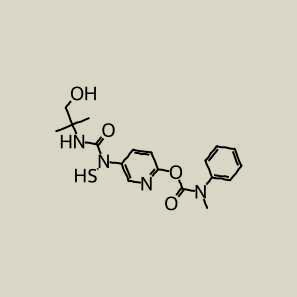 CN(C(=O)Oc1ccc(N(S)C(=O)NC(C)(C)CO)cn1)c1ccccc1